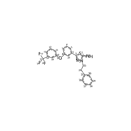 N=c1sc(-c2cccc(Oc3cccc(C(F)(F)F)c3)c2)nn1CCc1ccccc1